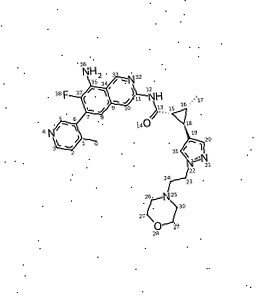 Cc1ccncc1-c1cc2cc(NC(=O)[C@@H]3[C@H](C)[C@H]3c3cnn(CCN4CCOCC4)c3)ncc2c(N)c1F